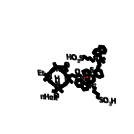 CCCCCCOC(C)c1c(C)c2cc3nc(c4c5[nH]c(cc6nc(cc1[nH]2)C(C)=C6CC)c(C)c5C(=O)C4)C(CCC(=O)Nc1ccc(SC2=C(C=CC4=[N+](CCCCS(=O)(=O)O)c5ccc6ccccc6c5C4(C)C)CCCC2=CC=C2N(CCCCS(=O)(=O)O)c4ccc5ccccc5c4C2(C)C)cc1)C3C